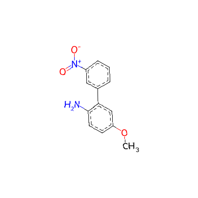 COc1ccc(N)c(-c2cccc([N+](=O)[O-])c2)c1